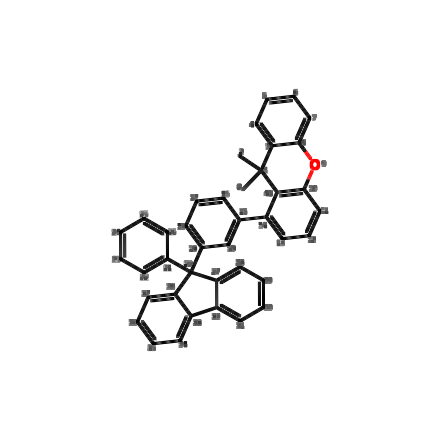 CC1(C)c2ccccc2Oc2cccc(-c3cccc(C4(c5ccccc5)c5ccccc5-c5ccccc54)c3)c21